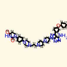 Nc1ncnc2c1c(-c1ccc(Oc3ccccc3)cc1)nn2C1CCN(C2CCN(CCCN3CCN(c4ccc(N5CCC(=O)NC5=O)cc4)CC3)CC2)CC1